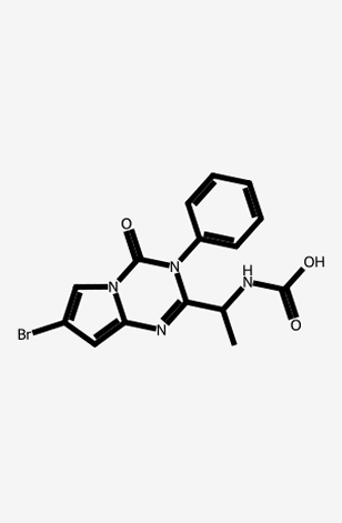 CC(NC(=O)O)c1nc2cc(Br)cn2c(=O)n1-c1ccccc1